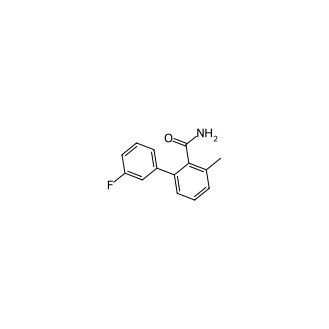 Cc1cccc(-c2cccc(F)c2)c1C(N)=O